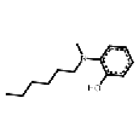 CCCCCCN(C)c1ccccc1O